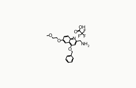 COCCOc1ccc2nc(CN)cc(OCc3ccccc3)c2c1.O=C(O)C(F)(F)F